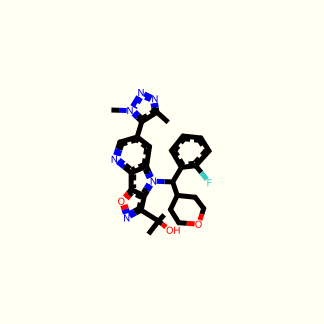 Cc1nnn(C)c1-c1cnc2c3onc(C(C)(C)O)c3n(C(c3ccccc3F)C3CCOCC3)c2c1